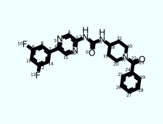 O=C(Nc1cnc(-c2cc(F)cc(F)c2)cn1)NC1CCN(C(=O)c2ccccc2)CC1